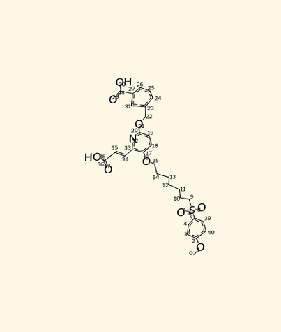 COc1ccc(S(=O)(=O)CCCCCCCOc2ccc(OCc3cccc(C(=O)O)c3)nc2C=CC(=O)O)cc1